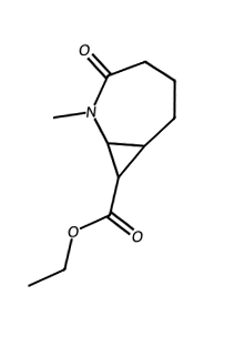 CCOC(=O)C1C2CCCC(=O)N(C)C21